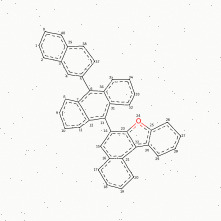 c1ccc2cc(-c3c4ccccc4c(-c4cc5ccccc5c5c4oc4ccccc45)c4ccccc34)ccc2c1